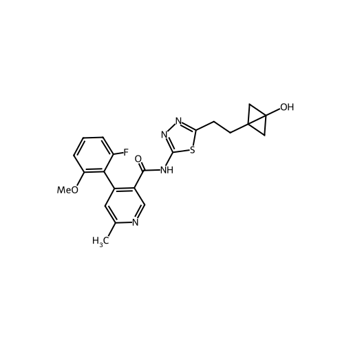 COc1cccc(F)c1-c1cc(C)ncc1C(=O)Nc1nnc(CCC23CC2(O)C3)s1